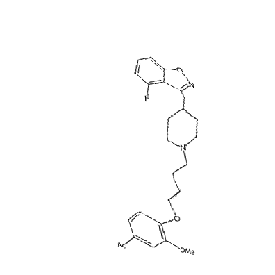 COc1cc(C(C)=O)ccc1OCCCCN1CCC(c2noc3cccc(F)c23)CC1